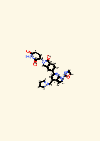 O=C1CC[C@H](N2Cc3cc(-c4cc(CN5CCCC5)c5ccn(-c6ncco6)c5n4)ccc3C2=O)C(=O)N1